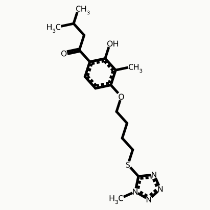 Cc1c(OCCCCSc2nnnn2C)ccc(C(=O)CC(C)C)c1O